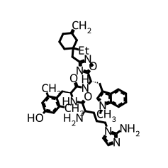 C=C1CCCC(CC)(Cc2noc([C@H](Cc3cn(C)c4ccccc34)NC(=O)[C@H](Cc3c(C)cc(O)cc3C)NC(=O)[C@H](N)CCCn3ccnc3N)n2)C1